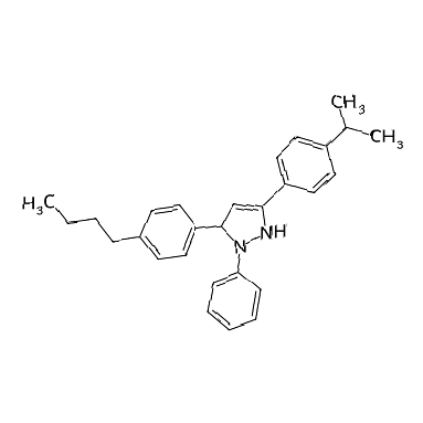 CCCCc1ccc(C2C=C(c3ccc(C(C)C)cc3)NN2c2ccccc2)cc1